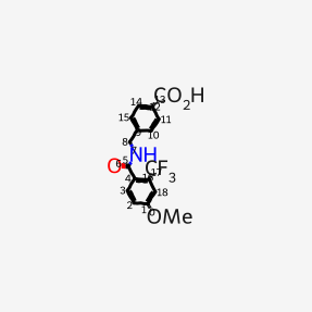 COc1ccc(C(=O)NCc2ccc(C(=O)O)cc2)c(C(F)(F)F)c1